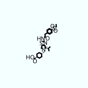 CCS(=O)(=O)c1ccc(CC(=O)Nc2nc3c(s2)CN(C[C@H]2CC[C@H](C(=O)O)CC2)[C@H]3C(C)C)cc1